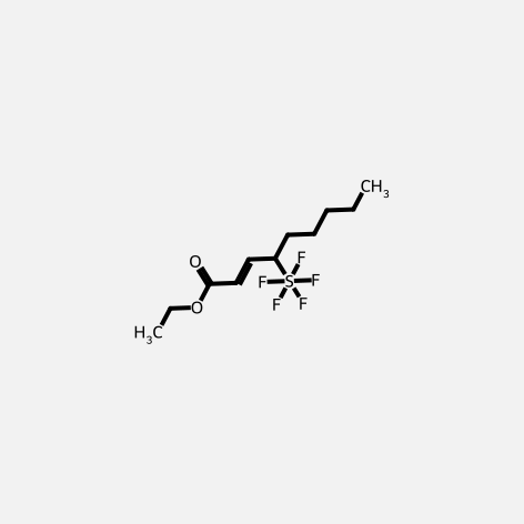 CCCCCC(C=CC(=O)OCC)S(F)(F)(F)(F)F